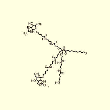 CC(=O)NC1C(O)[C@@H](O)C(CO)O[C@H]1OCCCCC(=O)NCCCNC(=O)CCOCC(COCCC(=O)NCCCNC(=O)CCCCO)(COCCC(=O)NCCCNC(=O)CCCCO[C@@H]1OC(CO)[C@H](O)C(O)C1NC(C)=O)NC(=O)CCCCCCCCC=O